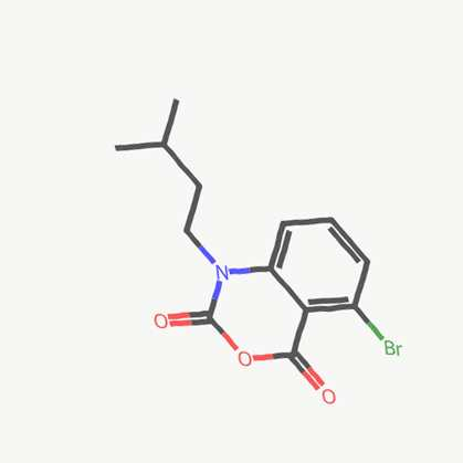 CC(C)CCn1c(=O)oc(=O)c2c(Br)cccc21